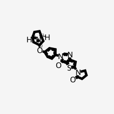 CN1[C@@H]2CC[C@H]1C[C@@H](Oc1ccc(-n3cnc4cc(N5CCCC5=O)sc4c3=O)cc1)C2